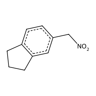 O=[N+]([O-])Cc1ccc2c(c1)CCC2